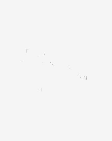 O=C(c1cc(Cl)ccc1C(F)(F)F)N1CCN(c2cccnn2)CC1